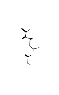 C=C(C)C(=O)C(=O)CC(C)OC(=O)CC(C)=O